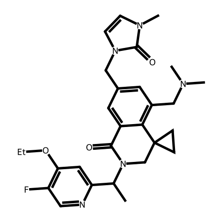 CCOc1cc(C(C)N2CC3(CC3)c3c(CN(C)C)cc(Cn4ccn(C)c4=O)cc3C2=O)ncc1F